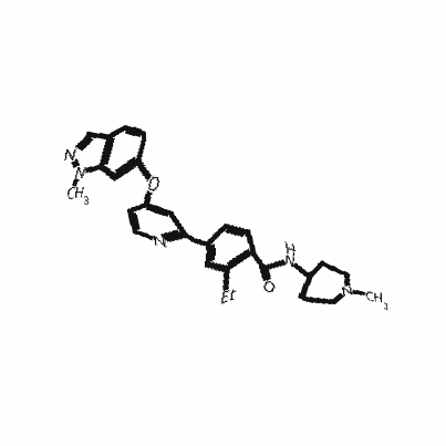 CCc1cc(-c2cc(Oc3ccc4cnn(C)c4c3)ccn2)ccc1C(=O)NC1CCN(C)CC1